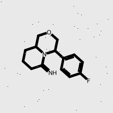 N=C1CCCC2COCC(c3ccc(F)cc3)N12